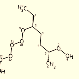 CC[C@@H](CC[C@@H](C)OO)OOOOOO